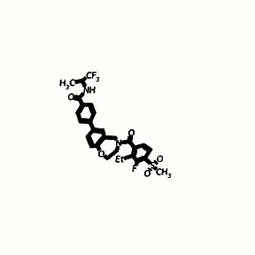 CCc1c(C(=O)N2CCOc3ccc(-c4ccc(C(=O)NC(C)C(F)(F)F)cc4)cc3C2)ccc(S(C)(=O)=O)c1F